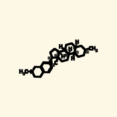 C[C@H]1CC[C@H]2[C@@H](CC[C@@H]3[C@@H]2CC[C@]2(C)[C@@H](c4ccc5c(c4)CN(C)CC5)CC[C@@H]32)C1